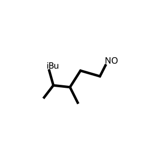 CCC(C)C(C)C(C)CCN=O